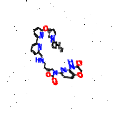 CN1CC[C@H](Oc2cccc(-c3cccc(CNCC[C@H]4CN(c5ccc6c(n5)NC(=O)CO6)C(=O)O4)n3)n2)C1